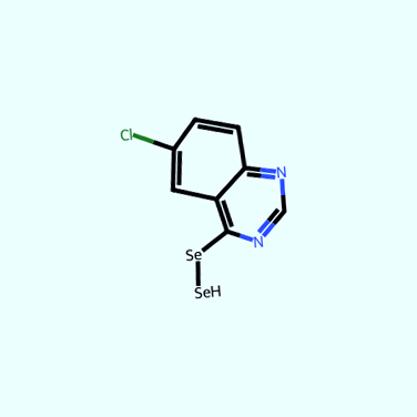 Clc1ccc2ncnc([Se][SeH])c2c1